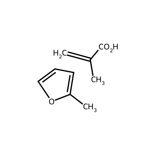 C=C(C)C(=O)O.Cc1ccco1